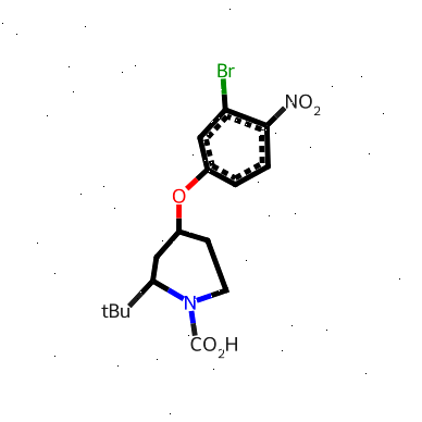 CC(C)(C)C1CC(Oc2ccc([N+](=O)[O-])c(Br)c2)CCN1C(=O)O